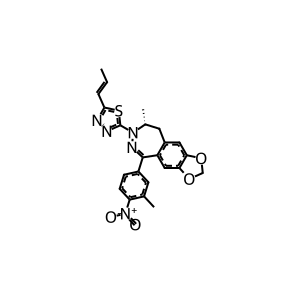 CC=Cc1nnc(N2N=C(c3ccc([N+](=O)[O-])c(C)c3)c3cc4c(cc3C[C@H]2C)OCO4)s1